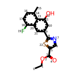 CCOC(=O)c1cnc(-c2cc(O)c3c(C)ccc(F)c3c2)s1